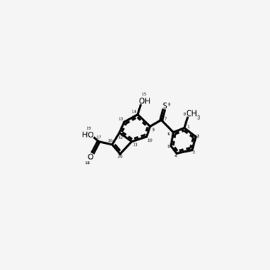 Cc1ccccc1C(=S)c1cc2c(cc1O)C(C(=O)O)=C2